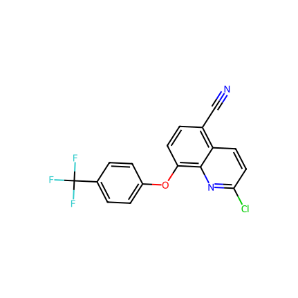 N#Cc1ccc(Oc2ccc(C(F)(F)F)cc2)c2nc(Cl)ccc12